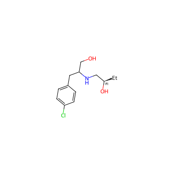 CC[C@@H](O)CNC(CO)Cc1ccc(Cl)cc1